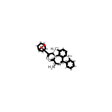 Cc1cccc2c1N(CC(=O)N1CC3CCC(CC3)C1)C(=O)[C@@H](N)N=C2c1ccccc1F